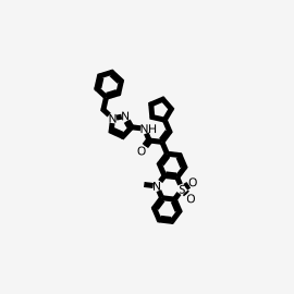 CN1c2ccccc2S(=O)(=O)c2ccc(C(=CC3CCCC3)C(=O)Nc3ccn(Cc4ccccc4)n3)cc21